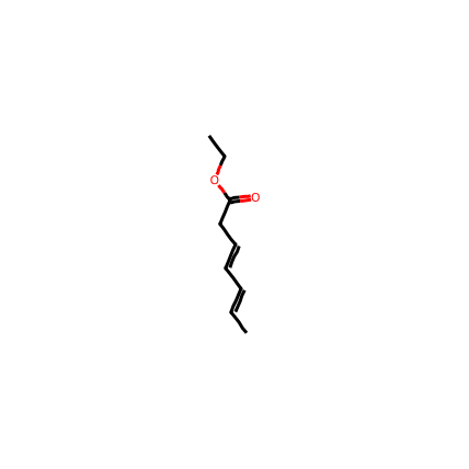 CC=CC=CCC(=O)OCC